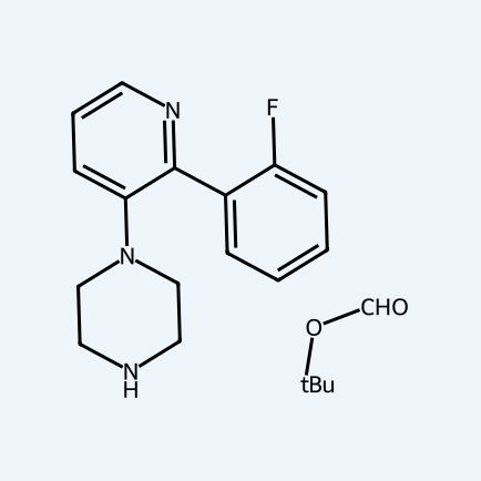 CC(C)(C)OC=O.Fc1ccccc1-c1ncccc1N1CCNCC1